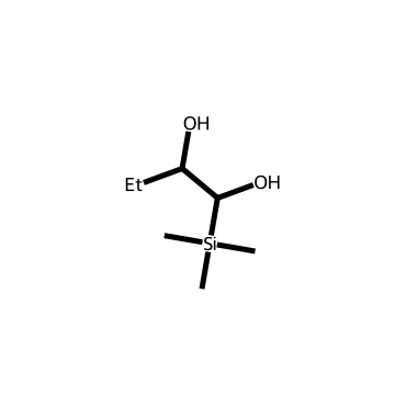 CCC(O)C(O)[Si](C)(C)C